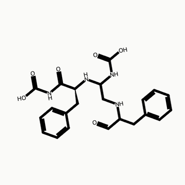 O=CC(Cc1ccccc1)NCC(NC(=O)O)N[C@@H](Cc1ccccc1)C(=O)NC(=O)O